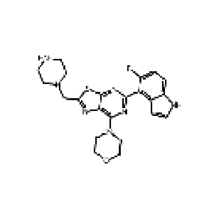 Fc1ccc2[nH]ccc2c1-c1nc(N2CCOCC2)c2nc(CN3CCNCC3)sc2n1